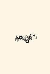 C=CC(=O)N(P)c1ccccc1OCc1cccc(C(F)(F)F)c1